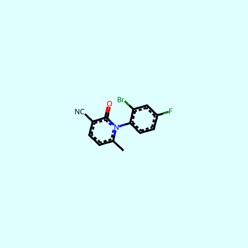 Cc1ccc(C#N)c(=O)n1-c1ccc(F)cc1Br